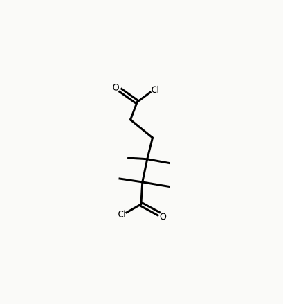 CC(C)(CCC(=O)Cl)C(C)(C)C(=O)Cl